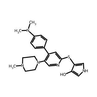 CN1CCN(c2cnc(Sc3c[nH]cc3O)cc2-c2ccc(N(C)C)cc2)CC1